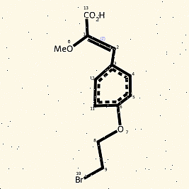 CO/C(=C\c1ccc(OCCBr)cc1)C(=O)O